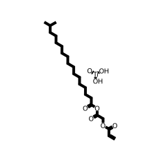 C=CC(=O)OCC(=O)OC(=O)CCCCCCCCCCCCCCC(C)C.[O]=[Ti]([OH])[OH]